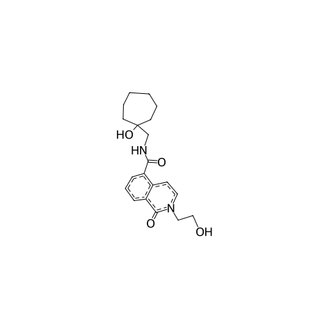 O=C(NCC1(O)CCCCCC1)c1cccc2c(=O)n(CCO)ccc12